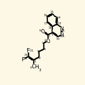 CC(CCCCOC(=O)c1cnnc2ccccc12)=C(F)F